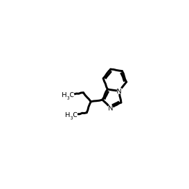 CCC(CC)c1ncn2ccccc12